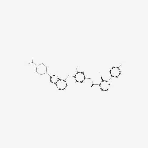 CC(C)N1CCC(c2cc3nccc(Cc4ccc(NC(=O)c5ccnn(-c6ccc(F)cc6)c5=O)cc4F)c3s2)CC1